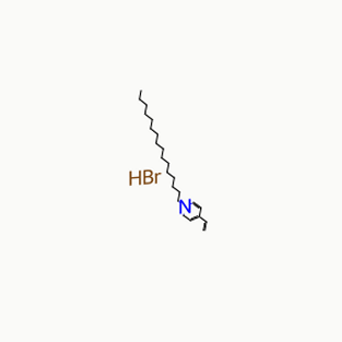 Br.C=CC1=CCN(CCCCCCCCCCCCCCCC)C=C1